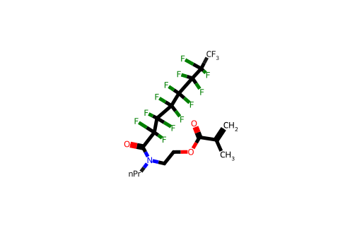 C=C(C)C(=O)OCCN(CCC)C(=O)C(F)(F)C(F)(F)C(F)(F)C(F)(F)C(F)(F)C(F)(F)C(F)(F)F